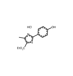 CCOC(=O)c1sc(-c2ccc(O)cc2)nc1C.Cl